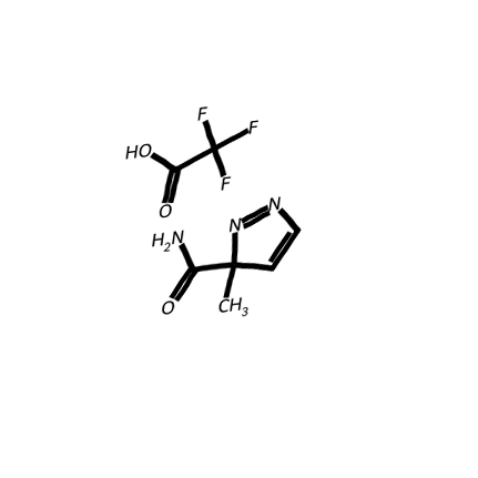 CC1(C(N)=O)C=CN=N1.O=C(O)C(F)(F)F